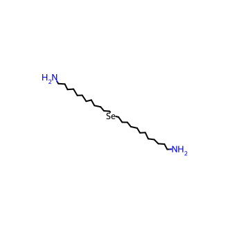 NCCCCCCCCCCCC[Se]CCCCCCCCCCCCN